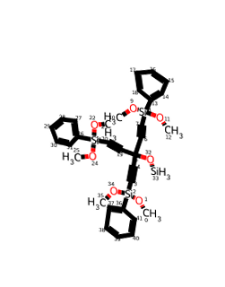 CO[Si](C#CC(C#C[Si](OC)(OC)c1ccccc1)(C#C[Si](OC)(OC)c1ccccc1)O[SiH3])(OC)c1ccccc1